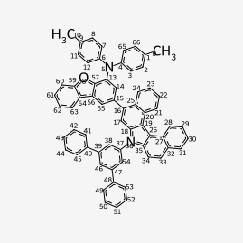 Cc1ccc(N(c2ccc(C)cc2)c2cc(-c3cc4c(c5ccccc35)c3c5ccccc5ccc3n4-c3cc(-c4ccccc4)cc(-c4ccccc4)c3)cc3c2oc2ccccc23)cc1